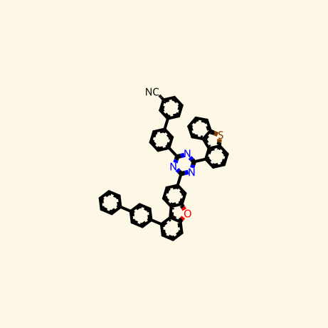 N#Cc1cccc(-c2cccc(-c3nc(-c4ccc5c(c4)oc4cccc(-c6ccc(-c7ccccc7)cc6)c45)nc(-c4cccc5sc6ccccc6c45)n3)c2)c1